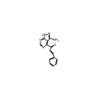 Nc1n[nH]c2ncnc(C(=O)C=Cc3ccccc3)c12